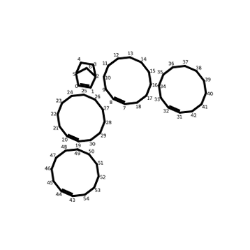 C1=CC2CCC1C2.C1=CCCCCCCCCCC1.C1=CCCCCCCCCCC1.C1=CCCCCCCCCCC1.C1=CCCCCCCCCCC1